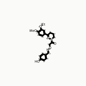 CCOc1cc(C2=NN(C(=O)CON=Cc3ccc(O)cc3)CCC2)ccc1OC